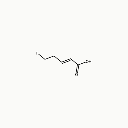 O=C(O)C=CCCF